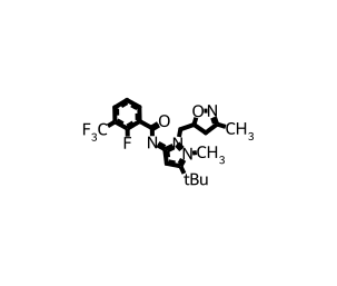 CC1=NOC(Cn2/c(=N\C(=O)c3cccc(C(F)(F)F)c3F)cc(C(C)(C)C)n2C)C1